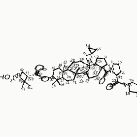 CC1([C@@H]2CC[C@]3(C(=O)N4CCC[C@H]4C(=O)N4CCCC4)CC[C@]4(C)[C@H](CC[C@@]5(C)[C@@]4(C)CCC4C(C)(C)[C@@H](OC(=O)[C@H]6C[C@@H](C(=O)O)C6(C)C)CC[C@@]45C)[C@@]23C)CC1